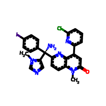 Cn1cncc1[C@@](N)(c1ccc(I)cc1)c1ccc2c(n1)c(-c1cccc(Cl)n1)cc(=O)n2C